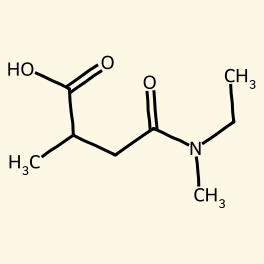 CCN(C)C(=O)CC(C)C(=O)O